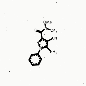 CON(C)C(=O)c1nn(-c2ccccc2)c(N)c1C#N